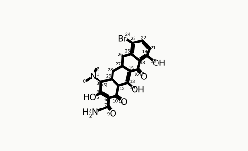 CN(C)[C@@H]1C(O)=C(C(N)=O)C(=O)C2C(O)=C3C(=O)c4c(O)ccc(Br)c4CC3CC21